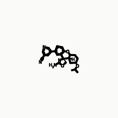 CC(C)O[C@@H]1CCC2Oc3ccc(-c4cncc(C#N)c4)cc3[C@@]3(COC(N)=N3)[C@H]2C1